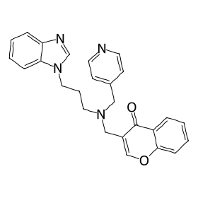 O=c1c(CN(CCCn2cnc3ccccc32)Cc2ccncc2)coc2ccccc12